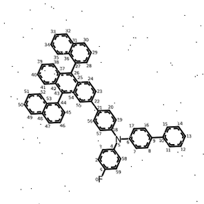 Fc1ccc(N(c2ccc(-c3ccccc3)cc2)c2ccc(-c3ccc4c(-c5cccc6ccccc56)c5ccccc5c(-c5cccc6ccccc56)c4c3)cc2)cc1